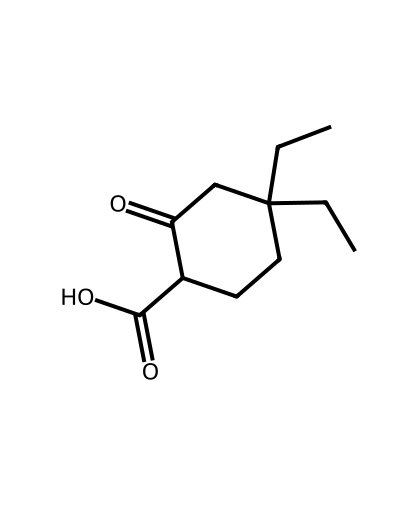 CCC1(CC)CCC(C(=O)O)C(=O)C1